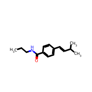 CCCNC(=O)c1ccc(/C=C/C(C)C)cc1